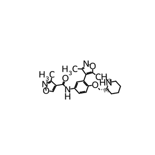 Cc1nocc1C(=O)Nc1ccc(OC[C@H]2CCCCN2)c(-c2c(C)noc2C)c1